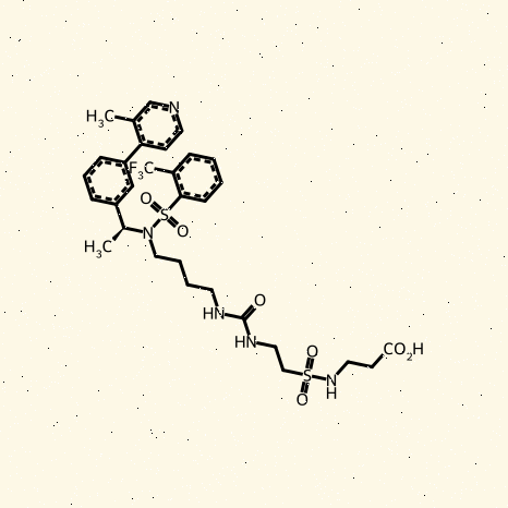 Cc1cnccc1-c1cccc([C@H](C)N(CCCCNC(=O)NCCS(=O)(=O)NCCC(=O)O)S(=O)(=O)c2ccccc2C(F)(F)F)c1